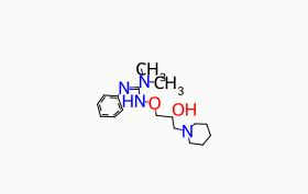 CN(C)C(=Nc1ccccc1)NOCC(O)CN1CCCCC1